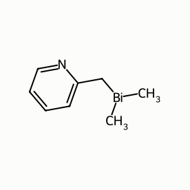 [CH3][Bi]([CH3])[CH2]c1ccccn1